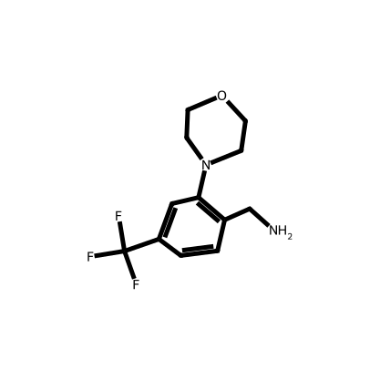 NCc1ccc(C(F)(F)F)cc1N1CCOCC1